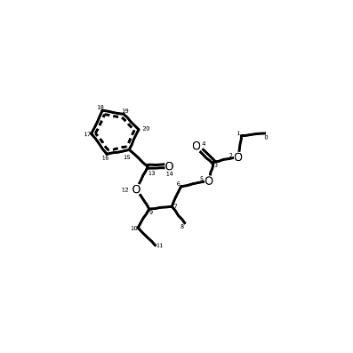 CCOC(=O)OCC(C)C(CC)OC(=O)c1ccccc1